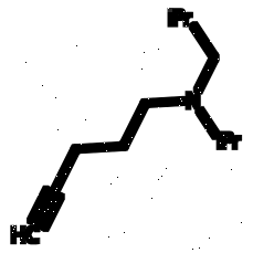 C#CCCCN(CC(C)C)C(C)C